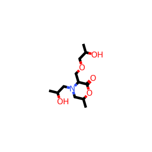 CC(O)COCC1C(=O)OC(C)CN1CC(C)O